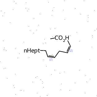 C/C=C\C/C=C\CCCCCCCC.CC(=O)O